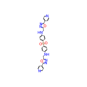 O=S(=O)(c1ccc(NCc2nnc(-c3ccncc3)o2)cc1)c1ccc(NCc2nnc(-c3ccncc3)o2)cc1